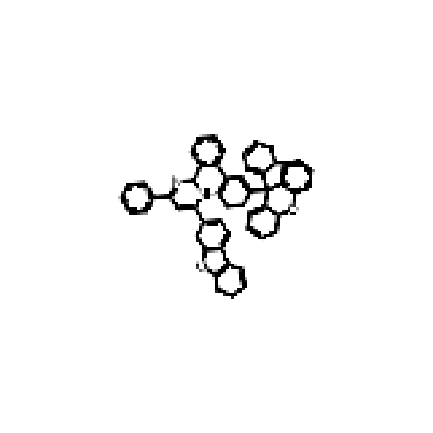 CC1CC=CC=C1C1(C2=CC(c3ccccc3C3N=C(c4ccccc4)C=C(C4=CC=C5C6=C(CCC=C6)OC5C4)N3)=CCC2)C2=CC=CCC2Oc2ccccc21